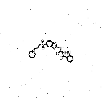 O=C(NC(=O)c1ccccc1Cl)Nc1nc2ccc(S(=O)(=O)CCCN3CCCCC3)cc2s1